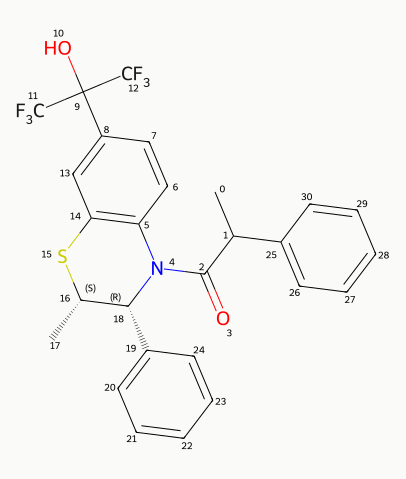 CC(C(=O)N1c2ccc(C(O)(C(F)(F)F)C(F)(F)F)cc2S[C@@H](C)[C@H]1c1ccccc1)c1ccccc1